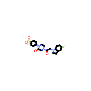 O=C(Cn1ccc2cc(F)ccc21)N1CCN(c2ccc([SH](=O)=O)cc2)C(=O)C1